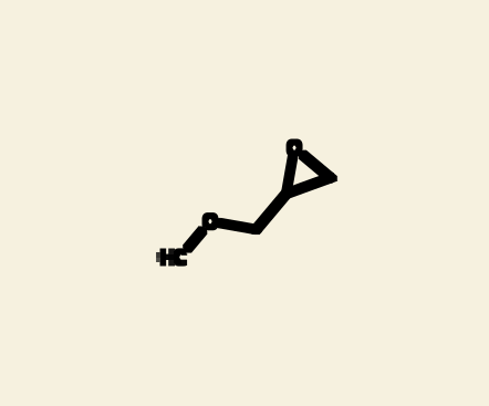 [CH]OCC1CO1